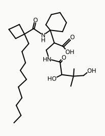 CCCCCCCCCCC1(C(=O)NC2(C(CNC(=O)C(O)C(C)(C)CO)C(=O)O)CCCCC2)CCC1